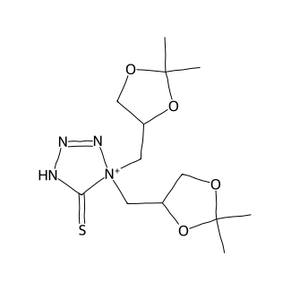 CC1(C)OCC(C[N+]2(CC3COC(C)(C)O3)N=NNC2=S)O1